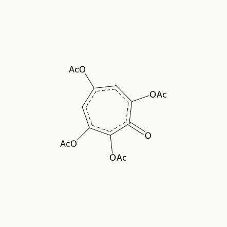 CC(=O)Oc1cc(OC(C)=O)c(OC(C)=O)c(=O)c(OC(C)=O)c1